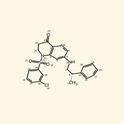 C[C@H](CNc1cnc2c(c1)N(S(=O)(=O)c1cccc(Cl)c1)CCC2=O)c1ccccc1